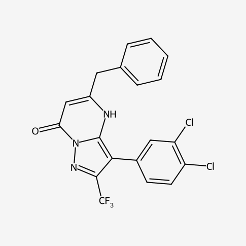 O=c1cc(Cc2ccccc2)[nH]c2c(-c3ccc(Cl)c(Cl)c3)c(C(F)(F)F)nn12